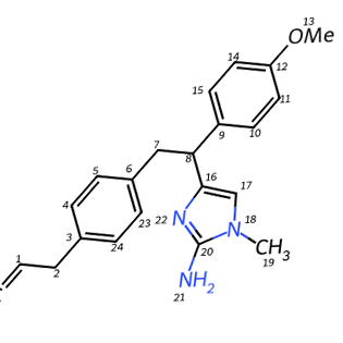 C=CCc1ccc(CC(c2ccc(OC)cc2)c2cn(C)c(N)n2)cc1